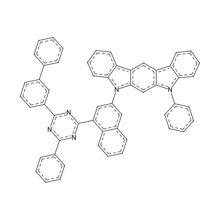 c1ccc(-c2cccc(-c3nc(-c4ccccc4)nc(-c4cc(-n5c6ccccc6c6cc7c8ccccc8n(-c8ccccc8)c7cc65)cc5ccccc45)n3)c2)cc1